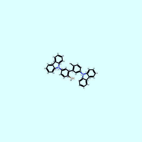 Cc1ccc(-n2c3ccccc3c3ccccc32)cc1-c1cc(-n2c3ccccc3c3ccccc32)ccc1S